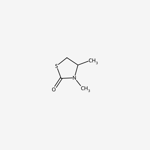 CC1CSC(=O)N1C